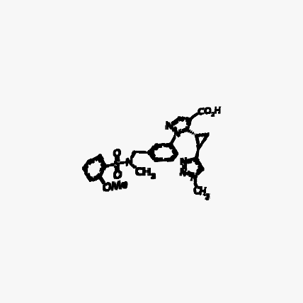 COc1ccccc1S(=O)(=O)N(C)Cc1cccc(-n2ncc(C(=O)O)c2[C@@H]2C[C@H]2c2cn(C)nn2)c1